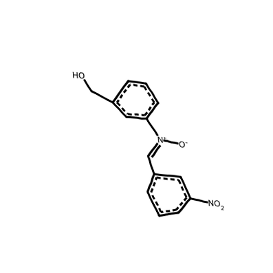 O=[N+]([O-])c1cccc(C=[N+]([O-])c2cccc(CO)c2)c1